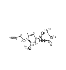 C#CCOc1ccc(C(=O)NC(C)C(C)CC)cc1OC